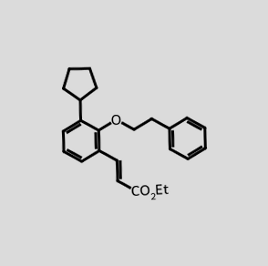 CCOC(=O)/C=C/c1cccc(C2CCCC2)c1OCCc1ccccc1